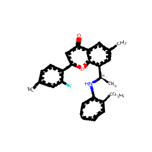 Cc1cc([C@@H](C)Nc2ccccc2C(=O)O)c2oc(-c3ccc(C#N)cc3F)cc(=O)c2c1